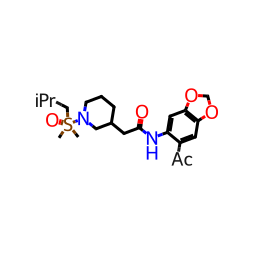 CC(=O)c1cc2c(cc1NC(=O)CC1CCCN(S(C)(C)(=O)CC(C)C)C1)OCO2